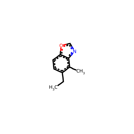 CCc1ccc2ocnc2c1C